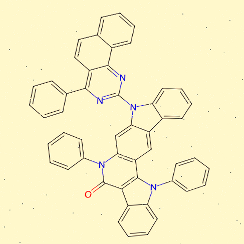 O=c1c2c3ccccc3n(-c3ccccc3)c2c2cc3c4ccccc4n(-c4nc(-c5ccccc5)c5ccc6ccccc6c5n4)c3cc2n1-c1ccccc1